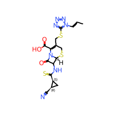 CC=Cn1nnnc1SCC1=C(C(=O)O)N2C(=O)C(NC(=S)[C@H]3C[C@H]3C#N)[C@@H]2SC1